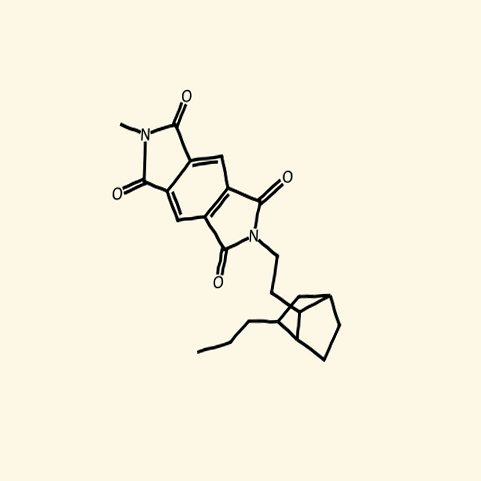 CCCC1CC2CCC1C2CCn1c(=O)c2cc3c(=O)n(C)c(=O)c3cc2c1=O